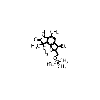 CCC1c2cc(C)c3c(c2OC1CO[Si](C)(C)C(C)(C)C)C(C)(C)C(=O)N3